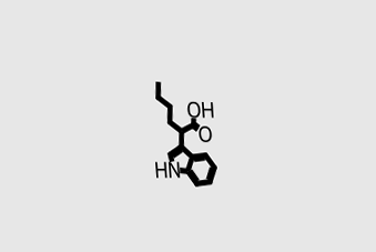 CCCCC(C(=O)O)c1c[nH]c2ccccc12